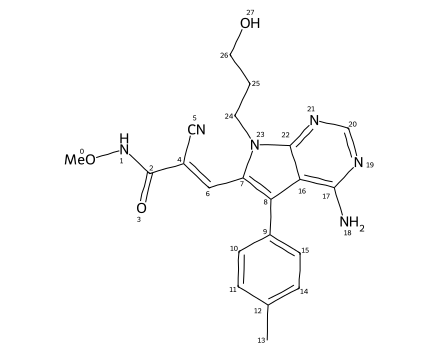 CONC(=O)C(C#N)=Cc1c(-c2ccc(C)cc2)c2c(N)ncnc2n1CCCO